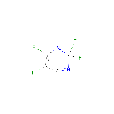 FC1=C(F)NC(F)(F)N=[C]1